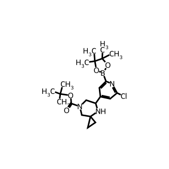 CC(C)(C)OC(=O)N1CC(c2cc(Cl)nc(B3OC(C)(C)C(C)(C)O3)c2)NC2(CC2)C1